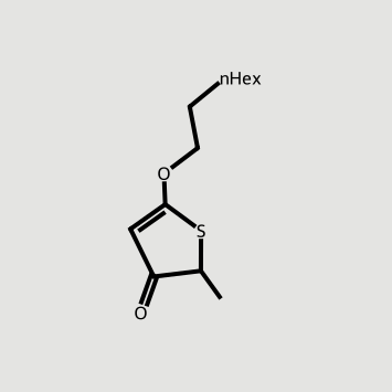 CCCCCCCCOC1=CC(=O)C(C)S1